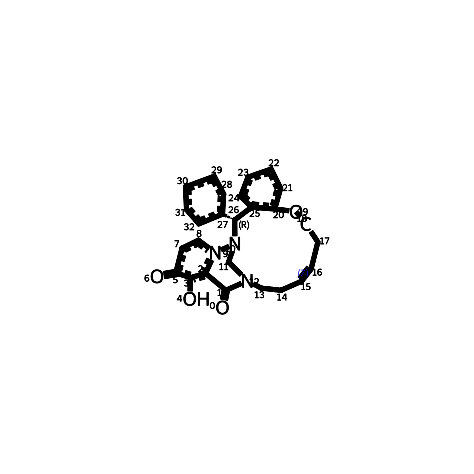 O=C1c2c(O)c(=O)ccn2N2CN1CC/C=C\CCOc1ccccc1[C@H]2c1ccccc1